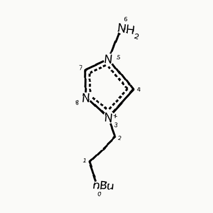 CCCCCC[n+]1cn(N)cn1